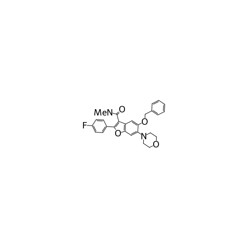 CNC(=O)c1c(-c2ccc(F)cc2)oc2cc(N3CCOCC3)c(OCc3ccccc3)cc12